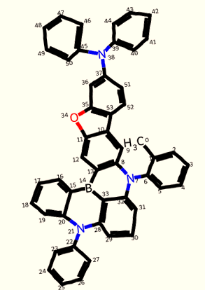 Cc1ccccc1N1c2cc3c(cc2B2c4ccccc4N(c4ccccc4)c4cccc1c42)oc1cc(N(c2ccccc2)c2ccccc2)ccc13